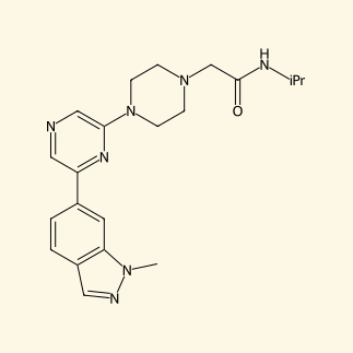 CC(C)NC(=O)CN1CCN(c2cncc(-c3ccc4cnn(C)c4c3)n2)CC1